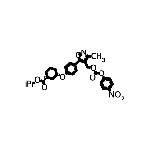 Cc1noc(-c2ccc(O[C@H]3CCC[C@H](C(=O)OC(C)C)C3)cc2)c1COC(=O)Oc1ccc([N+](=O)[O-])cc1